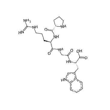 N=C(N)NCCC[C@@H](NC(=O)[C@@H]1CCCN1)C(=O)NCC(=O)N[C@@H](Cc1c[nH]c2ccccc12)C(=O)O